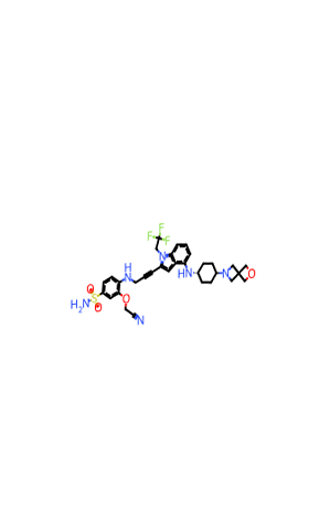 N#CCOc1cc(S(N)(=O)=O)ccc1NCC#Cc1cc2c(N[C@H]3CC[C@H](N4CC5(COC5)C4)CC3)cccc2n1CC(F)(F)F